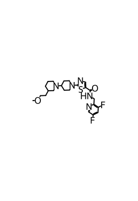 COCCC1CCCN(C2CCN(c3ncc(C(=O)NCc4ncc(F)cc4F)s3)CC2)C1